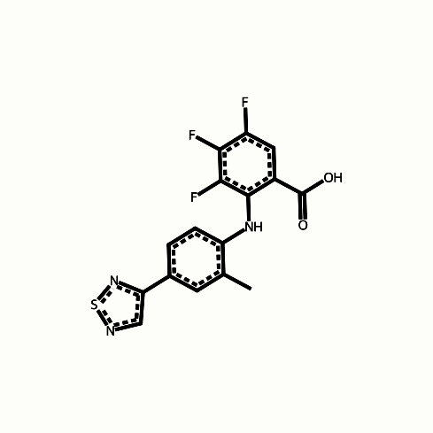 Cc1cc(-c2cnsn2)ccc1Nc1c(C(=O)O)cc(F)c(F)c1F